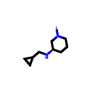 IN1CCC[C@@H](NCC2CC2)C1